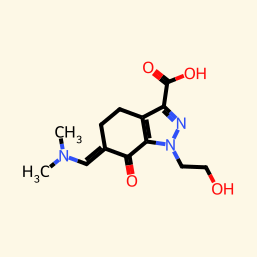 CN(C)/C=C1\CCc2c(C(=O)O)nn(CCO)c2C1=O